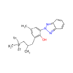 CC[Si](C)(CC)CC(C)Cc1cc(C)cc(-n2nc3ccccc3n2)c1O